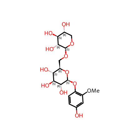 COc1cc(O)ccc1O[C@@H]1O[C@H](CO[C@@H]2OC[C@@H](O)[C@H](O)[C@H]2O)[C@@H](O)[C@H](O)[C@H]1O